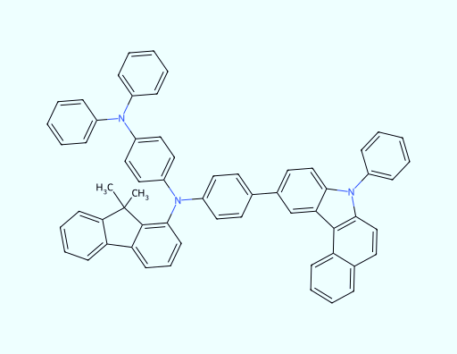 CC1(C)c2ccccc2-c2cccc(N(c3ccc(-c4ccc5c(c4)c4c6ccccc6ccc4n5-c4ccccc4)cc3)c3ccc(N(c4ccccc4)c4ccccc4)cc3)c21